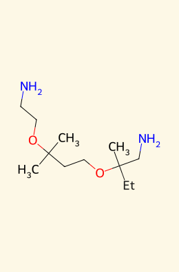 CCC(C)(CN)OCCC(C)(C)OCCN